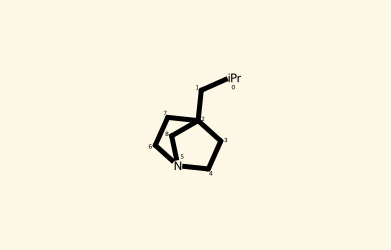 CC(C)CC12CCN(CC1)C2